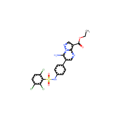 CCOC(=O)c1cnn2c(N)c(-c3ccc(NS(=O)(=O)c4c(Cl)ccc(Cl)c4Cl)cc3)cnc12